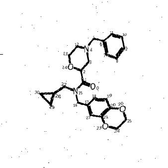 O=C(C1CN(Cc2ccccc2)CCO1)N(Cc1ccc2c(c1)OCCO2)CC1CC1